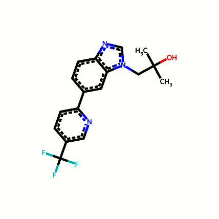 CC(C)(O)Cn1cnc2ccc(-c3ccc(C(F)(F)F)cn3)cc21